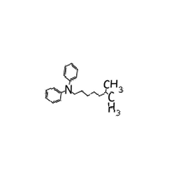 CC(C)CCCCCN(c1ccccc1)c1ccccc1